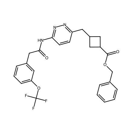 O=C(Cc1cccc(OC(F)(F)F)c1)Nc1ccc(CC2CC(C(=O)OCc3ccccc3)C2)nn1